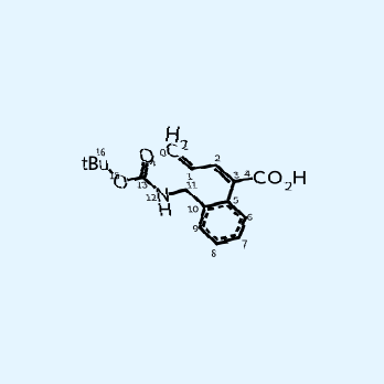 C=C/C=C(/C(=O)O)c1ccccc1CNC(=O)OC(C)(C)C